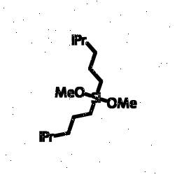 CO[Si](CCCC(C)C)(CCCC(C)C)OC